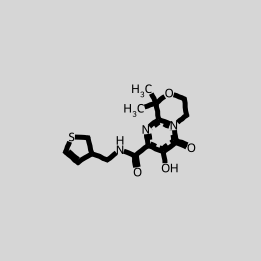 CC1(C)OCCn2c1nc(C(=O)NCC1C=CSC1)c(O)c2=O